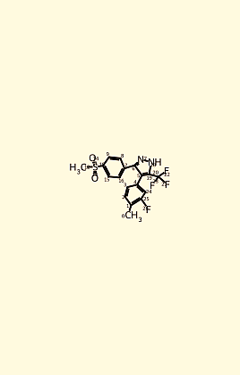 Cc1ccc(-c2c(-c3ccc(S(C)(=O)=O)cc3)n[nH]c2C(F)(F)F)cc1F